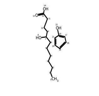 CCCCCCCC(O)CCCC(=O)O.Oc1ccccc1